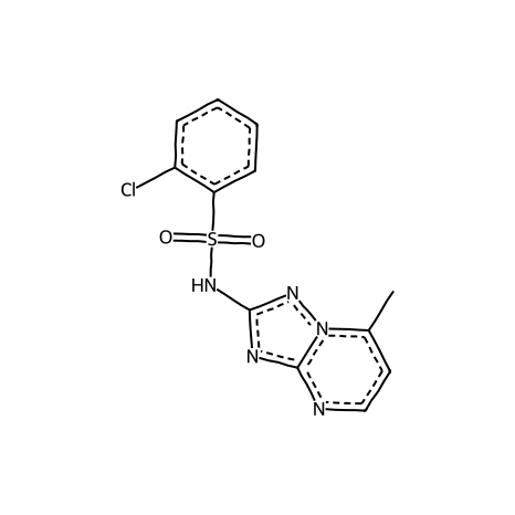 Cc1ccnc2nc(NS(=O)(=O)c3ccccc3Cl)nn12